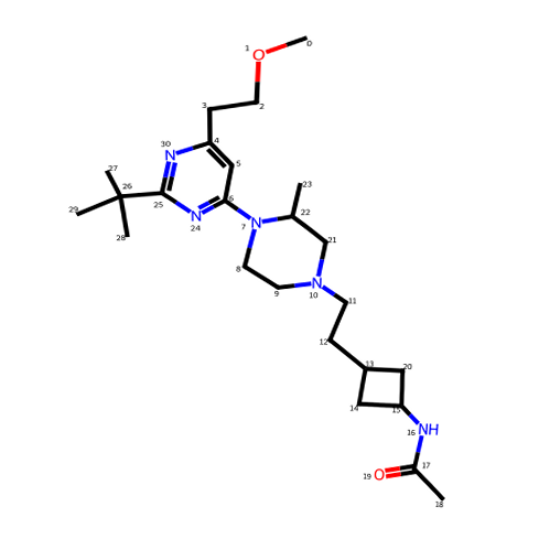 COCCc1cc(N2CCN(CCC3CC(NC(C)=O)C3)CC2C)nc(C(C)(C)C)n1